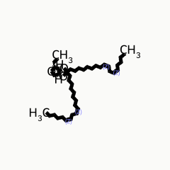 CCCCC/C=C\C/C=C\CCCCCCCCC1(CCCCCCCC/C=C\C/C=C\CCCCC)O[C@H]2[C@H](CCC)OC[C@H]2O1